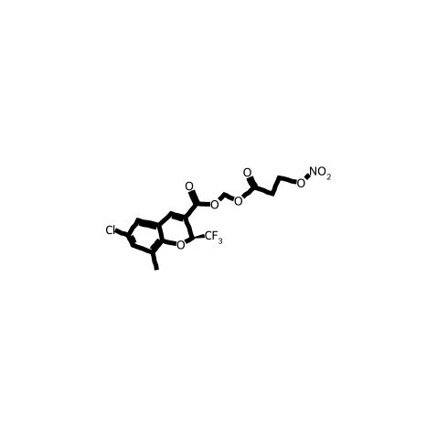 Cc1cc(Cl)cc2c1O[C@H](C(F)(F)F)C(C(=O)OCOC(=O)CCO[N+](=O)[O-])=C2